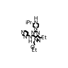 CCOCCn1nc(CC)c2nc(N3CCN[C@@H](C(C)C)C3)nc(Nc3ccncn3)c21